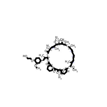 CO[C@@H]1/C(C)=C/[C@@H](C)C(=O)C[C@@H]([C@H](C)C[C@@H]2CC[C@@H](OCCO)[C@H](OC)C2)OC(=O)[C@@H]2CCCCN2C(=O)C(=O)[C@]2(O)O[C@@H](CC[C@H]2C)C[C@@H](OC)/C(C)=C/C=C/C=C/[C@@H](C)C[C@@H](C)C(=O)[C@@H]1OC